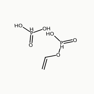 C=CO[PH](=O)O.O=[PH](O)O